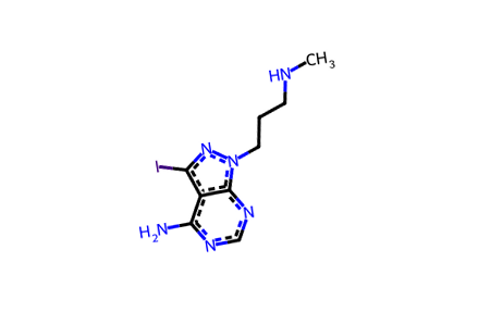 CNCCCn1nc(I)c2c(N)ncnc21